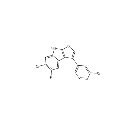 Fc1cc2c(cc1Cl)[nH]c1occ(-c3cccc(Cl)c3)c12